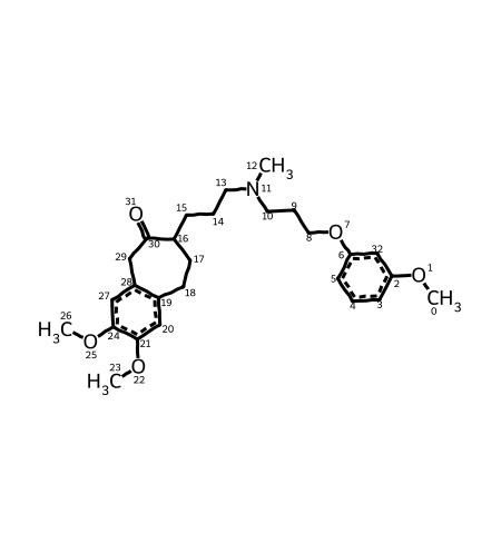 COc1cccc(OCCCN(C)CCCC2CCc3cc(OC)c(OC)cc3CC2=O)c1